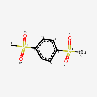 CC(C)(C)S(=O)(=O)c1ccc(S(C)(=O)=O)cc1